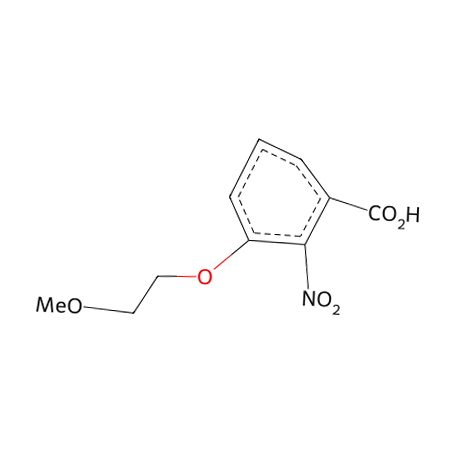 COCCOc1cccc(C(=O)O)c1[N+](=O)[O-]